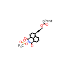 CCCCCC(=O)OCC#Cc1ccc2c3c(cccc13)C(=O)N(OS(=O)(=O)C(F)(F)F)C2=O